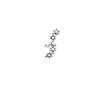 C=C(CCc1ccc(CC2=NC=CCC2)cc1)NC1CCN(Cc2ccc(F)cc2)CC1